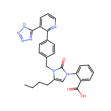 CCCCc1cn(-c2ccccc2C(=O)O)c(=O)n1Cc1ccc(-c2ncccc2-c2nnn[nH]2)cc1